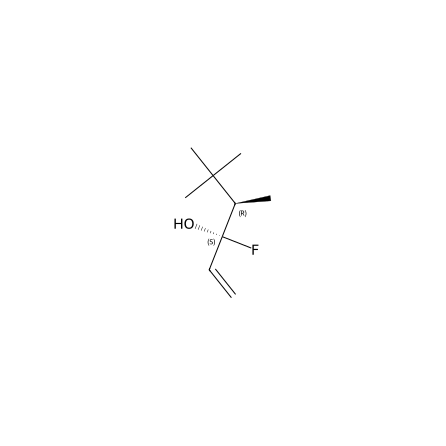 C=C[C@](O)(F)[C@H](C)C(C)(C)C